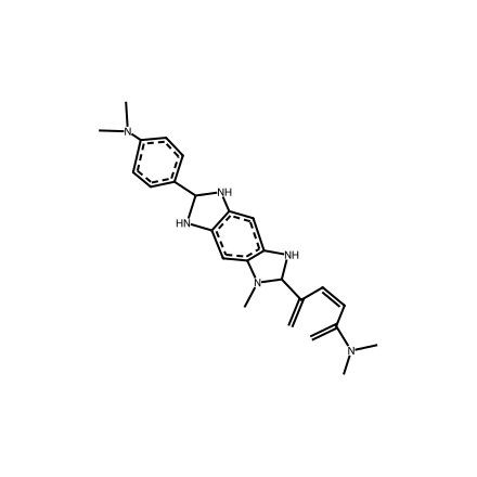 C=C(/C=C\C(=C)N(C)C)C1Nc2cc3c(cc2N1C)NC(c1ccc(N(C)C)cc1)N3